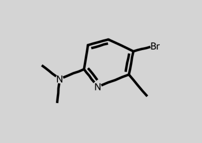 Cc1nc(N(C)C)ccc1Br